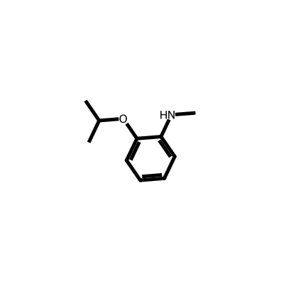 CNc1ccccc1OC(C)C